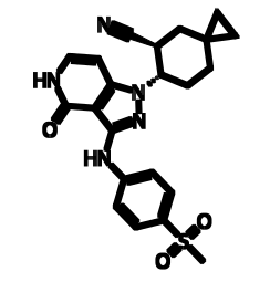 CS(=O)(=O)c1ccc(Nc2nn([C@H]3CCC4(CC4)C[C@@H]3C#N)c3cc[nH]c(=O)c23)cc1